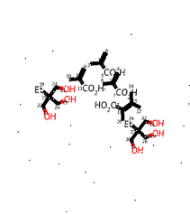 C=C(C)C(=O)O.C=C(C)C(=O)O.C=C(C)C(=O)O.CC(C)=C(C)C(=O)O.CCC(CO)(CO)CO.CCC(CO)(CO)CO